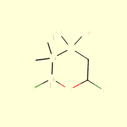 C[Si]1(C)CC(Cl)O[SiH](Cl)[Si]1(C)C